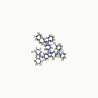 Cc1cccc(N(c2ccccc2)c2ccc3c4ccc(N(c5ccccc5)c5cccc(C)c5)cc4n(-c4ccc(N(c5ccccc5)c5ccc6ccccc6c5)cc4)c3c2)c1